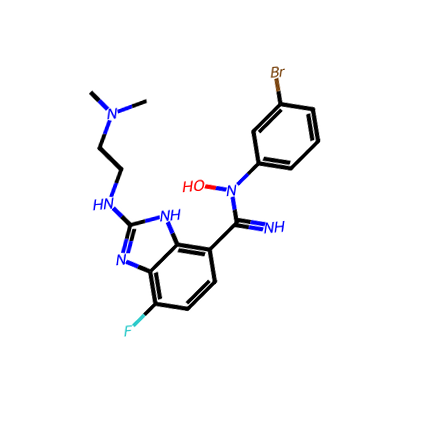 CN(C)CCNc1nc2c(F)ccc(C(=N)N(O)c3cccc(Br)c3)c2[nH]1